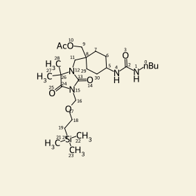 CCCCNC(=O)NC1CCC(COC(C)=O)(CN2C(=O)N(COCC[Si](C)(C)C)C(=O)C2(C)C)CC1